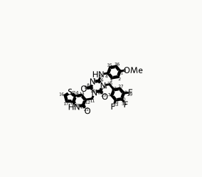 COc1ccc(Nc2nc(=O)n(Cc3cc4sccc4[nH]c3=O)c(=O)n2Cc2cc(F)c(F)c(F)c2)cc1